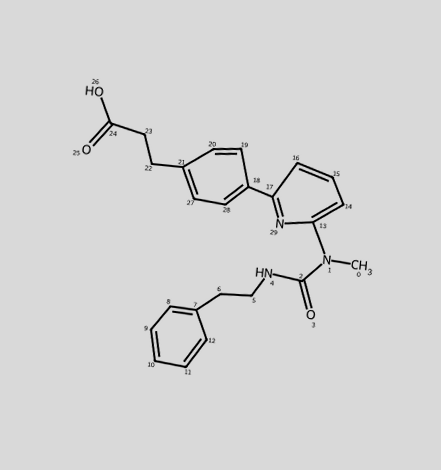 CN(C(=O)NCCc1ccccc1)c1cccc(-c2ccc(CCC(=O)O)cc2)n1